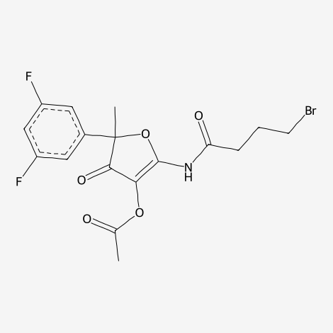 CC(=O)OC1=C(NC(=O)CCCBr)OC(C)(c2cc(F)cc(F)c2)C1=O